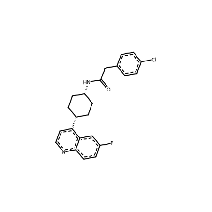 O=C(Cc1ccc(Cl)cc1)N[C@H]1CC[C@@H](c2ccnc3ccc(F)cc32)CC1